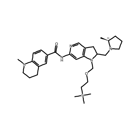 C[C@H]1CCCN1CC1Cc2cnc(NC(=O)c3ccc4c(c3)CCCN4C)cc2N1COCC[Si](C)(C)C